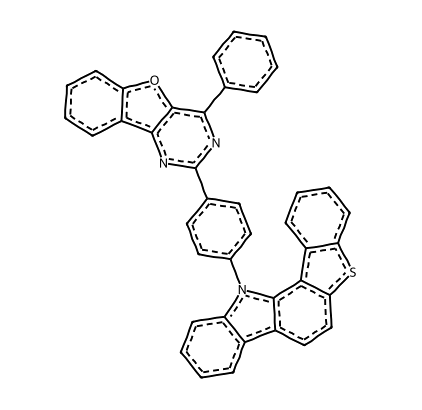 c1ccc(-c2nc(-c3ccc(-n4c5ccccc5c5ccc6sc7ccccc7c6c54)cc3)nc3c2oc2ccccc23)cc1